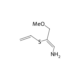 C=CS/C(=C\N)COC